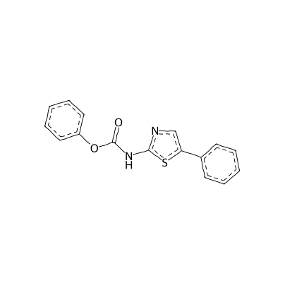 O=C(Nc1ncc(-c2ccccc2)s1)Oc1ccccc1